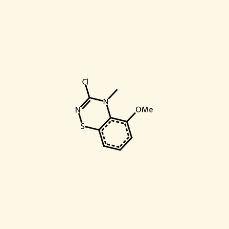 COc1cccc2c1N(C)C(Cl)=NS2